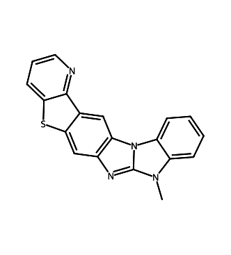 Cn1c2ccccc2n2c3cc4c(cc3nc12)sc1cccnc14